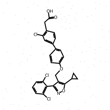 O=C(O)Cc1ccc(-c2ccc(OCc3c(-c4c(Cl)cccc4Cl)noc3C3CC3)cc2)cc1Cl